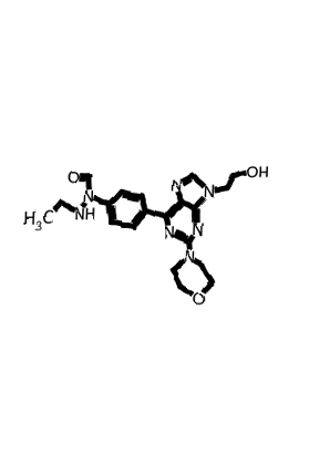 CCNN(C=O)c1ccc(-c2nc(N3CCOCC3)nc3c2ncn3CCO)cc1